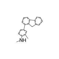 CNc1ccc(-c2cccc3c2Cc2ccccc2-3)cc1C